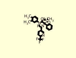 Cc1ccc(N(CCc2ccc(C(F)(F)F)nc2)C(=O)C(N)(c2ccccc2)S(C)(=O)=O)cc1C